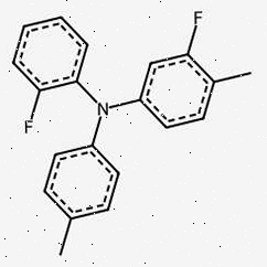 Cc1ccc(N(c2ccc(C)c(F)c2)c2ccccc2F)cc1